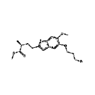 COC(=O)[C@@H](C)CCc1cc2cc(OCCCBr)c(OC)cc2s1